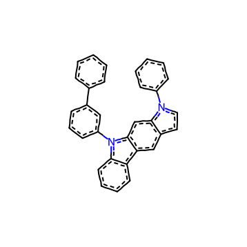 c1ccc(-c2cccc(-n3c4ccccc4c4cc5ccn(-c6ccccc6)c5cc43)c2)cc1